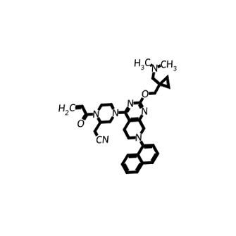 C=CC(=O)N1CCN(c2nc(OCC3(CN(C)C)CC3)nc3c2CCN(c2cccc4ccccc24)C3)CC1CC#N